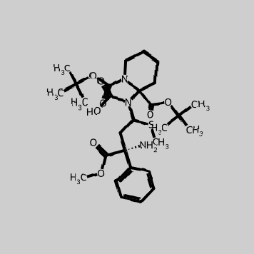 COC(=O)[C@@](N)(CC(SC)N(C(=O)O)C1(C(=O)OC(C)(C)C)CCCCN1C(=O)OC(C)(C)C)c1ccccc1